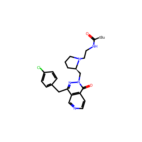 CC(C)(C)C(=O)NCCN1CCC[C@@H]1Cn1nc(Cc2ccc(Cl)cc2)c2cnccc2c1=O